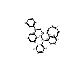 C1=C\C=C/C(N(CP(c2ccccc2)c2ccccc2)CP(c2ccccc2)c2ccccc2)=C\C=C/1